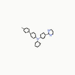 Cc1ccc(-c2ccc(N(c3ccccc3)c3ccc(-c4ncccn4)cc3)cc2)cc1